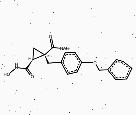 CNC(=O)[C@@]1(Cc2ccc(OCc3ccccc3)cc2)C[C@@H]1C(=O)NO